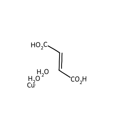 O.O.O=C(O)/C=C/C(=O)O.[Cu]